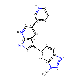 Cn1nnc2ccc(-c3c[nH]c4ncc(-c5cccnc5)cc34)cc21